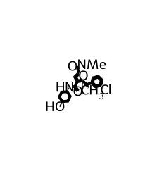 CNC(=O)c1cc(C(=O)N[C@H]2CC[C@H](O)CC2)c([C@H](C)c2cccc(Cl)c2)o1